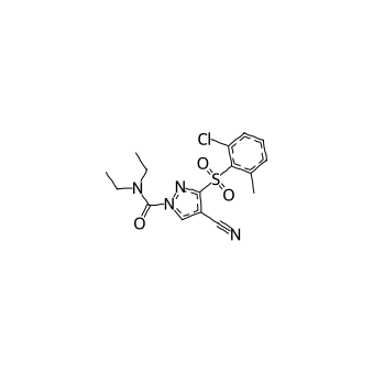 CCN(CC)C(=O)n1cc(C#N)c(S(=O)(=O)c2c(C)cccc2Cl)n1